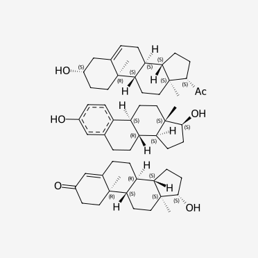 CC(=O)[C@H]1CC[C@H]2[C@@H]3CC=C4C[C@@H](O)CC[C@]4(C)[C@H]3CC[C@]12C.C[C@]12CC[C@@H]3c4ccc(O)cc4CC[C@H]3[C@@H]1CC[C@@H]2O.C[C@]12CC[C@H]3[C@@H](CCC4=CC(=O)CC[C@@]43C)[C@@H]1CC[C@@H]2O